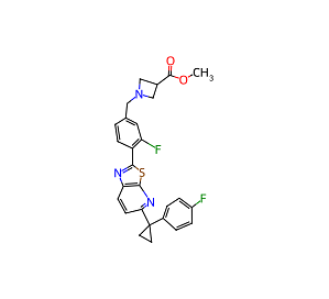 COC(=O)C1CN(Cc2ccc(-c3nc4ccc(C5(c6ccc(F)cc6)CC5)nc4s3)c(F)c2)C1